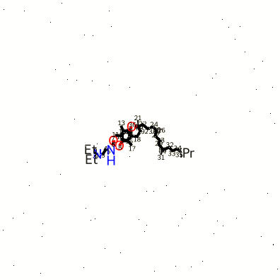 CCN(CC)CCNC(=O)Oc1c(C)c(C)c2c(c1C)CC[C@@](C)(CCC[C@H](C)CCC[C@H](C)CCCC(C)C)O2